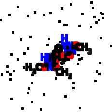 CCOc1nc(N[C@@H](Cc2ccc(Nc3nc(OC)nc(OC)n3)cc2)C(=O)O)nc(OCC)n1